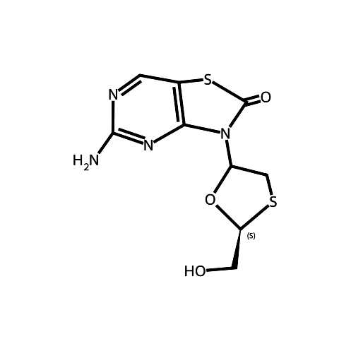 Nc1ncc2sc(=O)n(C3CS[C@@H](CO)O3)c2n1